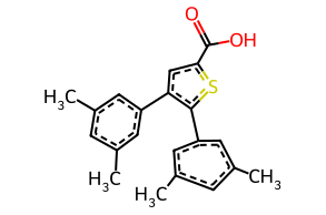 Cc1cc(C)cc(-c2cc(C(=O)O)sc2-c2cc(C)cc(C)c2)c1